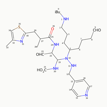 CCC(C)NCCCC(CCCC=O)N(NCc1ccncc1)C(NC(=O)O)C(C=O)NC(=O)C(C)Cc1nc(C)cs1